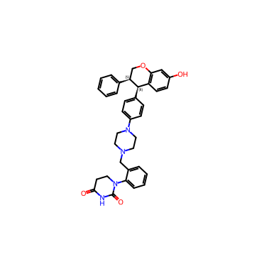 O=C1CCN(c2ccccc2CN2CCN(c3ccc([C@@H]4c5ccc(O)cc5OC[C@@H]4c4ccccc4)cc3)CC2)C(=O)N1